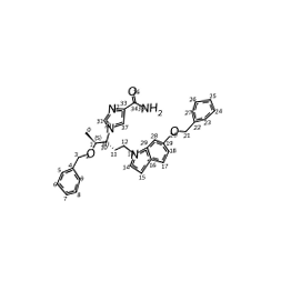 C[C@H](OCc1ccccc1)[C@@H](CCn1ccc2ccc(OCc3ccccc3)cc21)n1cnc(C(N)=O)c1